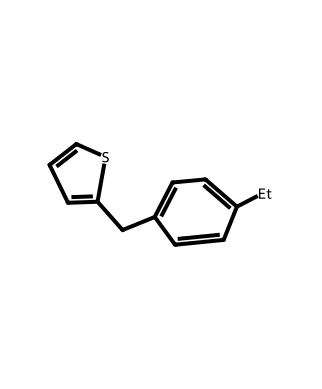 CCc1ccc(Cc2cccs2)cc1